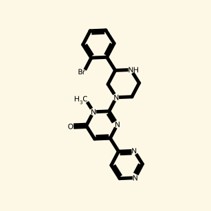 Cn1c(N2CCNC(c3ccccc3Br)C2)nc(-c2ccncn2)cc1=O